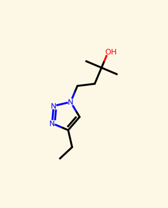 CCc1cn(CCC(C)(C)O)nn1